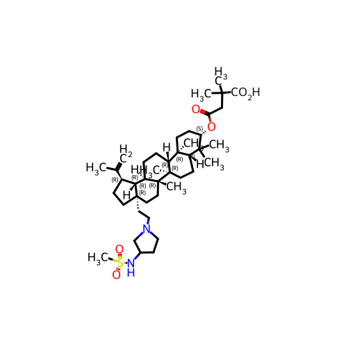 C=C(C)[C@@H]1CC[C@]2(CCN3CCC(NS(C)(=O)=O)C3)CC[C@]3(C)[C@H](CC[C@@H]4[C@@]5(C)CC[C@H](OC(=O)CC(C)(C)C(=O)O)C(C)(C)[C@@H]5CC[C@]43C)[C@@H]12